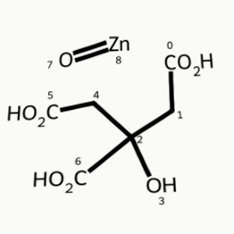 O=C(O)CC(O)(CC(=O)O)C(=O)O.[O]=[Zn]